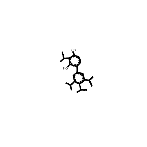 CC(C)c1cc(-c2ccc(O)c(C(C)C)c2O)cc(C(C)C)c1C(C)C